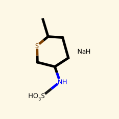 CC1CCC(NS(=O)(=O)O)CS1.[NaH]